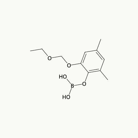 CCOCOc1cc(C)cc(C)c1OB(O)O